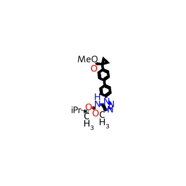 COC(=O)C1(c2ccc(-c3ccc(-n4nnc(C)c4NC(=O)O[C@H](C)C(C)C)cc3)cc2)CC1